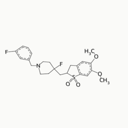 COc1cc2c(cc1OC)S(=O)(=O)C(CC1(F)CCN(Cc3cccc(F)c3)CC1)C2